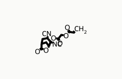 [C-]#[N+]C1(OC(=O)COC(=O)C=C)C(C#N)CC2CC1OC2=O